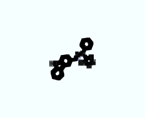 C(=N\N(c1ccccc1)c1nnn[nH]1)/c1ccc2[nH]c3ccccc3c2c1